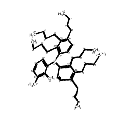 CCCCc1ccc(P(c2cccc(C)c2C)c2ccc(CCCC)c(CCCC)c2CCCC)c(CCCC)c1CCCC